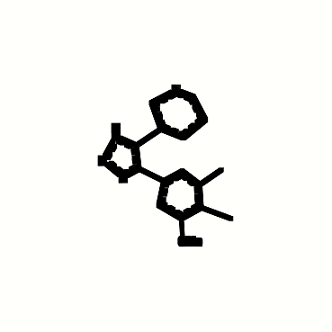 COc1cc(-c2nn[nH]c2-c2cccnc2)cc(C)c1C